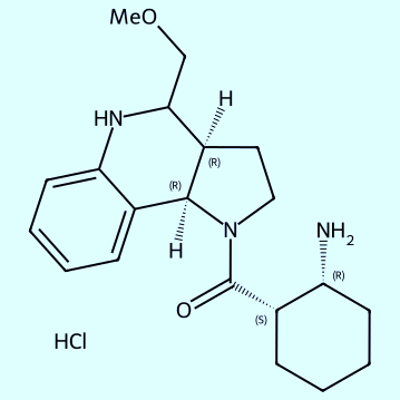 COCC1Nc2ccccc2[C@H]2[C@@H]1CCN2C(=O)[C@H]1CCCC[C@H]1N.Cl